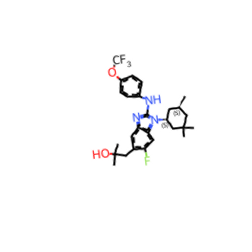 C[C@@H]1C[C@H](n2c(Nc3ccc(OC(F)(F)F)cc3)nc3cc(CC(C)(C)O)c(F)cc32)CC(C)(C)C1